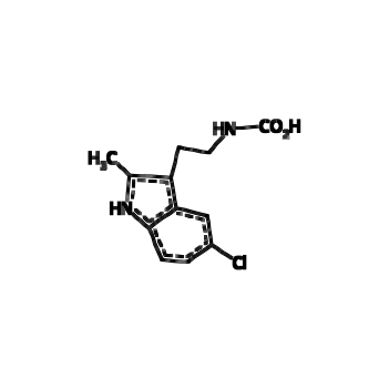 Cc1[nH]c2ccc(Cl)cc2c1CCNC(=O)O